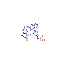 Cc1cc(=O)[nH]c2cc(Nc3nc(N4CCC(N(C)C(=O)O)CC4)c4occc4n3)ccc12